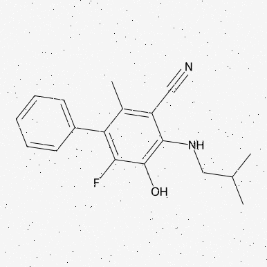 Cc1c(C#N)c(NCC(C)C)c(O)c(F)c1-c1ccccc1